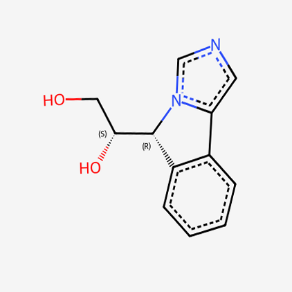 OC[C@@H](O)[C@H]1c2ccccc2-c2cncn21